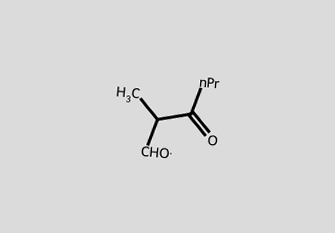 CCCC(=O)C(C)[C]=O